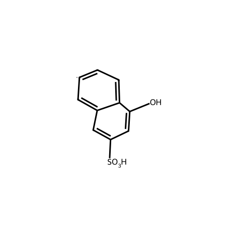 O=S(=O)(O)c1cc(O)c2cc[c]cc2c1